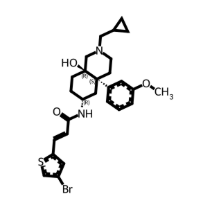 COc1cccc([C@@]23CCN(CC4CC4)C[C@@]2(O)CC[C@@H](NC(=O)C=Cc2cc(Br)cs2)C3)c1